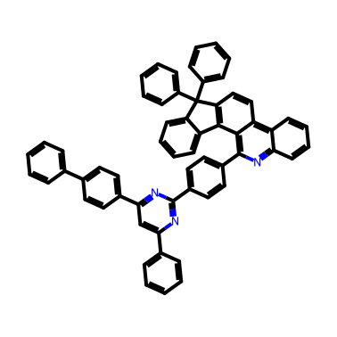 c1ccc(-c2ccc(-c3cc(-c4ccccc4)nc(-c4ccc(-c5nc6ccccc6c6ccc7c(c56)-c5ccccc5C7(c5ccccc5)c5ccccc5)cc4)n3)cc2)cc1